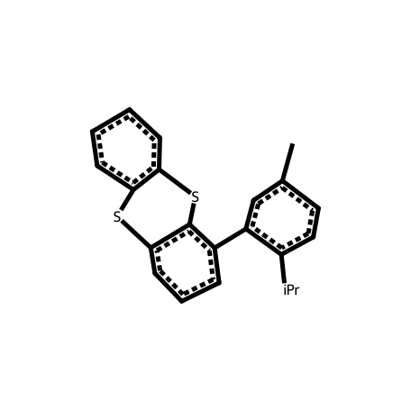 Cc1ccc(C(C)C)c(-c2cccc3c2Sc2ccccc2S3)c1